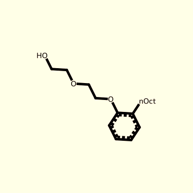 CCCCCCCCc1ccccc1OCCOCCO